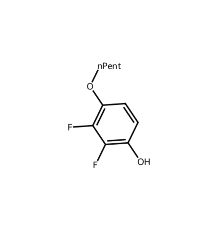 CCCCCOc1ccc(O)c(F)c1F